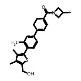 Cc1c(CO)sc(-c2ccc(C3=CC=C(C(=O)N4CC(F)C4)CC3)cc2C(F)(F)F)c1C